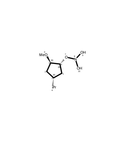 CO[C@@H]1C[C@@H](C(C)C)C[C@H]1ON(O)O